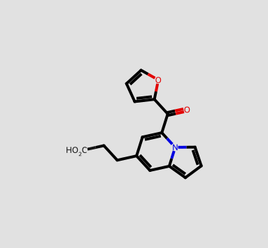 O=C(O)CCc1cc(C(=O)c2ccco2)n2cccc2c1